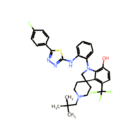 CC(C)(C)CN1CCC2(CC1)CN(c1ccccc1Nc1nnc(-c3ccc(F)cc3)s1)c1c(O)ccc(C(F)(F)F)c12